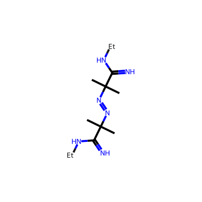 CCNC(=N)C(C)(C)N=NC(C)(C)C(=N)NCC